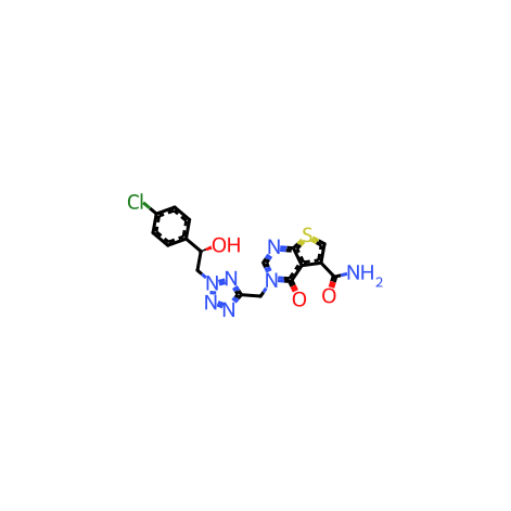 NC(=O)c1csc2ncn(Cc3nnn(C[C@H](O)c4ccc(Cl)cc4)n3)c(=O)c12